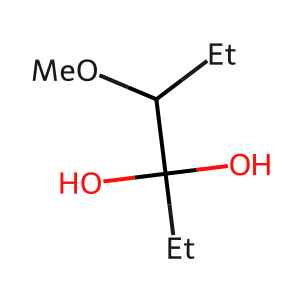 CCC(OC)C(O)(O)CC